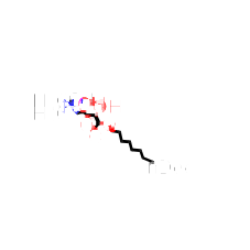 CCCCCCCCCCCCCCCCCCOC1=C(O)C(C(O)C[N+](C)(C)C)OC1=O